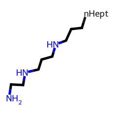 [CH2]CCCCCCCCCNCCCNCCN